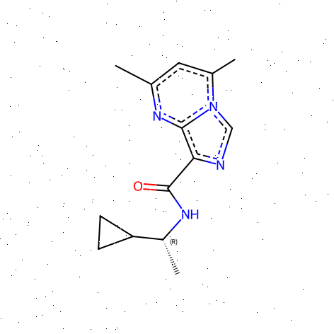 Cc1cc(C)n2cnc(C(=O)N[C@H](C)C3CC3)c2n1